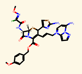 CON=C(F)C(=O)N[C@@H]1C(=O)N2C(C(=O)OCc3ccc(OC)cc3)=C(C=CC[n+]3ccc(N)n4nccc43)C(c3csc(N)n3)S[C@@H]12